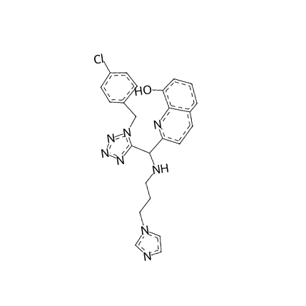 Oc1cccc2ccc(C(NCCCn3ccnc3)c3nnnn3Cc3ccc(Cl)cc3)nc12